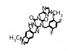 Cn1cnc(Cn2c(=O)[nH]/c(=N\c3cc4cnn(C)c4cc3Cl)n(Cc3cc(F)c(F)cc3F)c2=O)n1